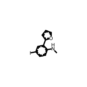 CNc1ccc(I)cc1-c1ccco1